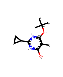 Cc1c(O)nc(C2CC2)nc1OC(C)(C)C